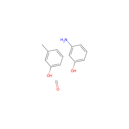 C=O.Cc1cccc(O)c1.Nc1cccc(O)c1